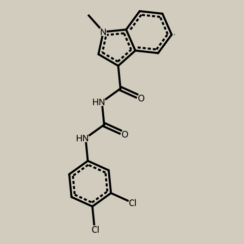 Cn1cc(C(=O)NC(=O)Nc2ccc(Cl)c(Cl)c2)c2c[c]ccc21